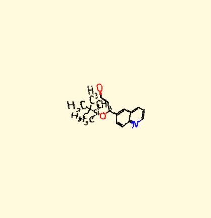 CC(C)(C)[Si](C)(C)O[C@@H](CC=O)c1ccc2ncccc2c1